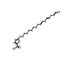 CCC=CCC=CCC=CCCCCCCCCOc1ccc(C(=O)CC)o1